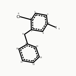 Clc1ccc(I)cc1Cc1cc[c]cc1